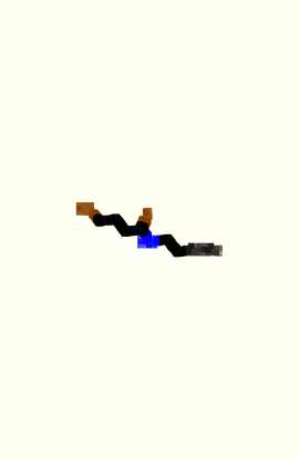 CC(=O)NCCNC(=S)CCCS